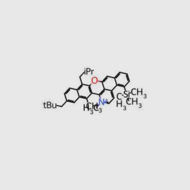 Cc1c2c(c(CC(C)C)c3ccc(CC(C)(C)C)cc13)Oc1cc3cccc([Si](C)(C)C)c3c3cc[n+](C)c-2c13